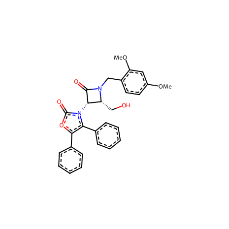 COc1ccc(CN2C(=O)[C@@H](n3c(-c4ccccc4)c(-c4ccccc4)oc3=O)[C@H]2CO)c(OC)c1